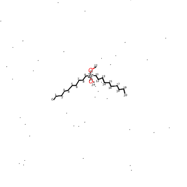 CCCCCCCCC[CH2][Zr]([CH2]CCCCCCCCC)([O]C)[O]C